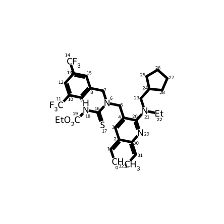 C/C=c1/cc(CN(Cc2cc(C(F)(F)F)cc(C(F)(F)F)c2)C(=S)NC(=O)OCC)c(N(CC)CC2CCCC2)n/c1=C/C